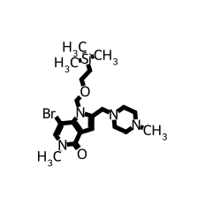 CN1CCN(Cc2cc3c(=O)n(C)cc(Br)c3n2COCC[Si](C)(C)C)CC1